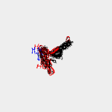 CCC1CC(OC)C(CO)OC1OC1C(OC2C(OC(=O)[C@]34CCC(C)(C)CC3C3=CCC5[C@@]6(C)CC[C@H](C)[C@@](C)(C=O)C6CC[C@@]5(C)[C@]3(C)C[C@H]4O)OC(C)C(O)C2ON)OC(C)C(OC)C1O